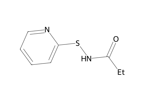 CCC(=O)NSc1ccccn1